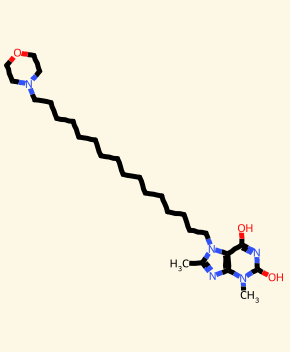 Cc1nc2c(n1CCCCCCCCCCCCCCCCN1CCOCC1)C(O)=NC(O)N2C